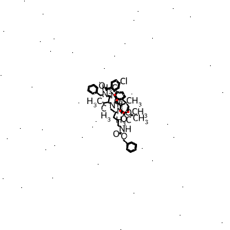 Cc1ccc(C2(C)C=CC=CC2C(=O)N(CC(CCCNC(=O)OCc2ccccc2)NC(=O)OC(C)(C)C)C(c2nc3cc(Cl)ccc3c(=O)n2Cc2ccccc2)C(C)C)cc1